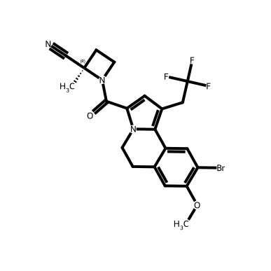 COc1cc2c(cc1Br)-c1c(CC(F)(F)F)cc(C(=O)N3CC[C@]3(C)C#N)n1CC2